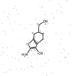 N#Cc1c(N)sc2c1CCC(CO)C2